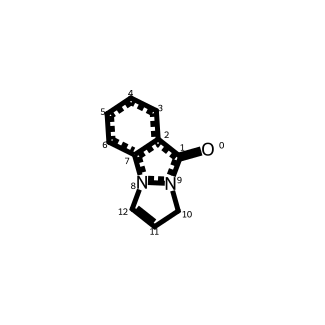 O=c1c2ccccc2n2n1CC=C2